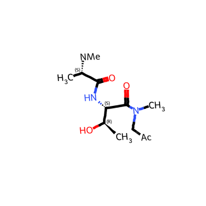 CN[C@@H](C)C(=O)N[C@H](C(=O)N(C)CC(C)=O)[C@@H](C)O